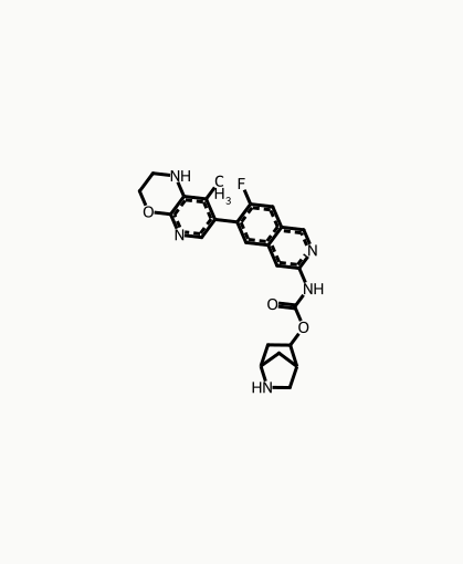 Cc1c(-c2cc3cc(NC(=O)OC4CC5CC4CN5)ncc3cc2F)cnc2c1NCCO2